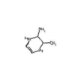 CC1NC=CNC1N